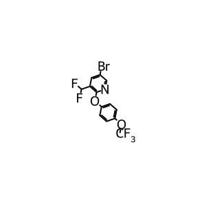 FC(F)c1cc(Br)cnc1Oc1ccc(OC(F)(F)F)cc1